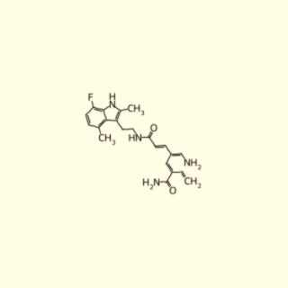 C=C\C(=C/C(=C\N)/C=C/C(=O)NCCc1c(C)[nH]c2c(F)ccc(C)c12)C(N)=O